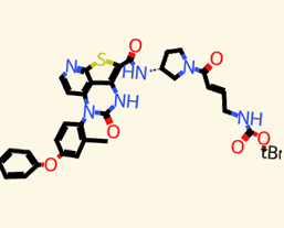 Cc1cc(Oc2ccccc2)ccc1N1C(=O)Nc2c(C(=O)N[C@@H]3CCN(C(=O)/C=C/CNC(=O)OC(C)(C)C)C3)sc3nccc1c23